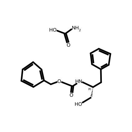 NC(=O)O.O=C(N[C@@H](CO)Cc1ccccc1)OCc1ccccc1